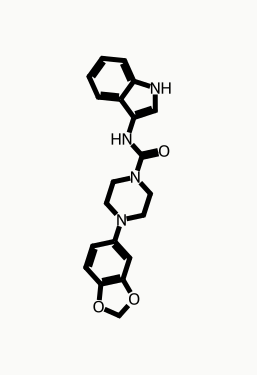 O=C(Nc1c[nH]c2ccccc12)N1CCN(c2ccc3c(c2)OCO3)CC1